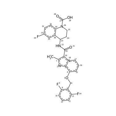 Cc1nc2c(OCc3c(F)cccc3F)cccn2c1C(=O)NC1CCN(C(=O)O)c2ccc(F)cc21